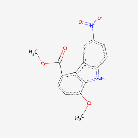 COC(=O)c1ccc(OC)c2[nH]c3ccc([N+](=O)[O-])cc3c12